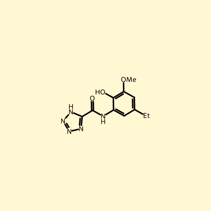 CCc1cc(NC(=O)c2nnn[nH]2)c(O)c(OC)c1